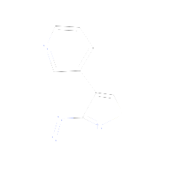 [N]=Nc1nscc1-c1cccnc1